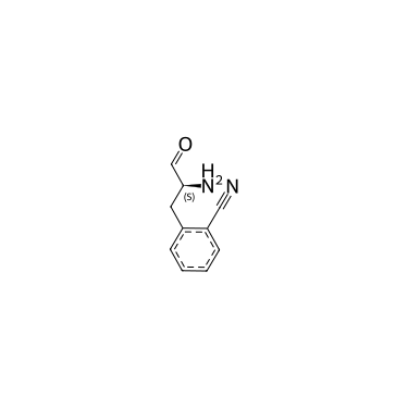 N#Cc1ccccc1C[C@H](N)C=O